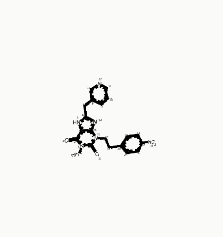 CCCn1c(=O)c2[nH]c(Cc3cccnc3)nc2n(CCc2ccc([N+](=O)[O-])cc2)c1=O